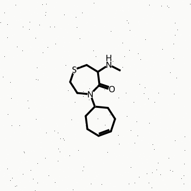 CNC1CSCCN(C2CCC=CCC2)C1=O